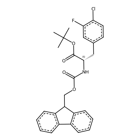 CC(C)(C)OC(=O)[C@H](Cc1ccc(Cl)c(F)c1)NC(=O)OCC1c2ccccc2-c2ccccc21